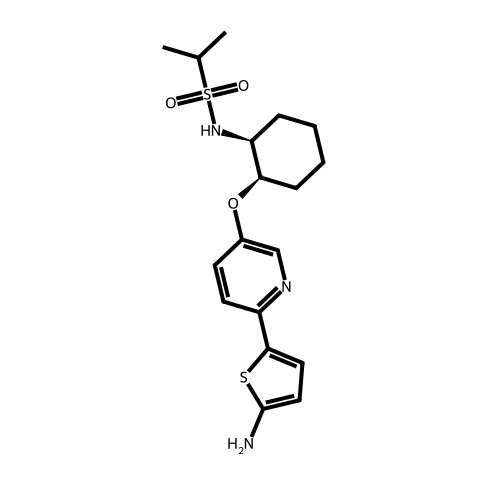 CC(C)S(=O)(=O)N[C@H]1CCCC[C@H]1Oc1ccc(-c2ccc(N)s2)nc1